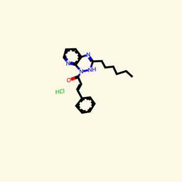 CCCCCCC1=Nc2cccnc2N(C(=O)/C=C/c2ccccc2)N1.Cl